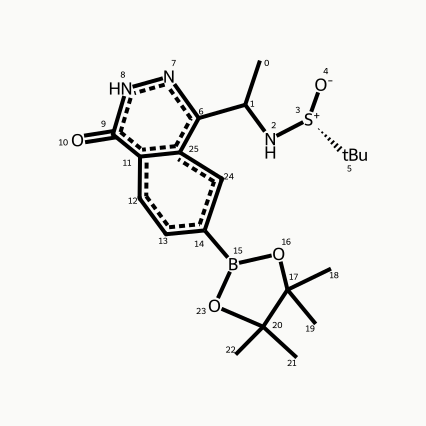 CC(N[S@+]([O-])C(C)(C)C)c1n[nH]c(=O)c2ccc(B3OC(C)(C)C(C)(C)O3)cc12